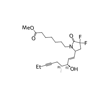 CCC#CC[C@@H](C)[C@H](O)C=CC1CC(F)(F)C(=O)N1CCCCCCC(=O)OC